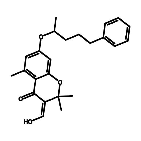 Cc1cc(OC(C)CCCc2ccccc2)cc2c1C(=O)C(=CO)C(C)(C)O2